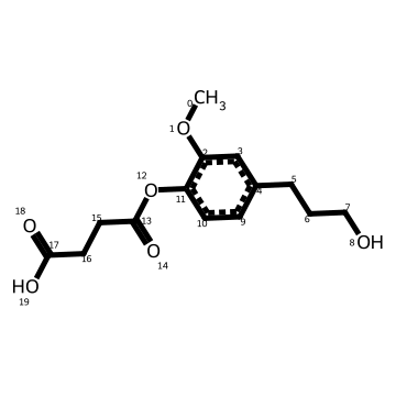 COc1cc(CCCO)ccc1OC(=O)CCC(=O)O